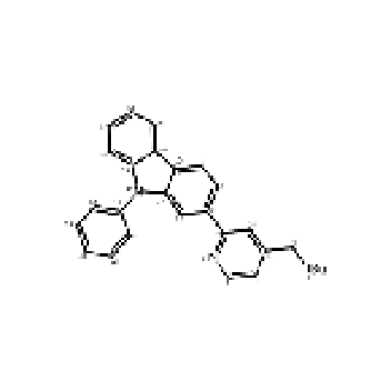 CC(C)(C)Cc1ccnc(-c2ccc3c4ccccc4n(-c4ccccc4)c3c2)c1